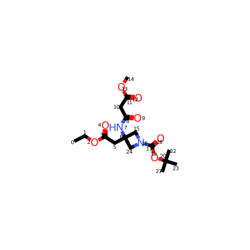 CCOC(=O)CC1(NC(=O)CC(=O)OC)CN(C(=O)OC(C)(C)C)C1